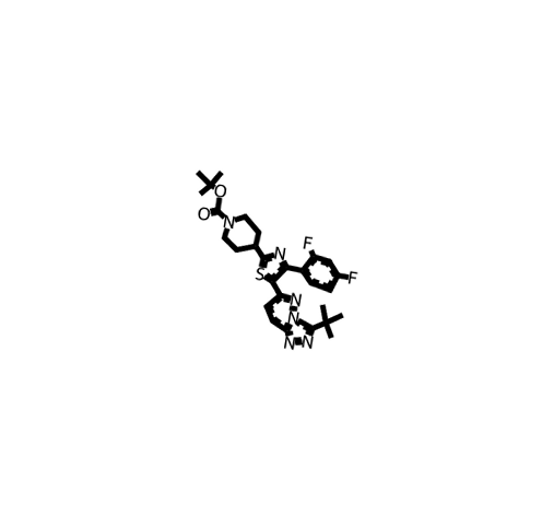 CC(C)(C)OC(=O)N1CCC(c2nc(-c3ccc(F)cc3F)c(-c3ccc4nnc(C(C)(C)C)n4n3)s2)CC1